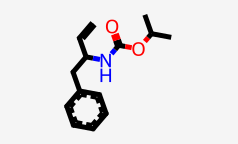 C=CC(Cc1ccccc1)NC(=O)OC(C)C